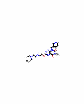 CCN(CC)CCNCCOc1nnc2c(n1)c(=O)n(C)c(=O)n2Cc1cccnc1